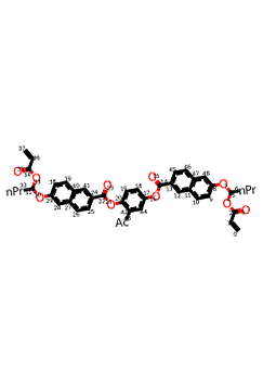 C=CC(=O)OC(CCC)Oc1ccc2cc(C(=O)Oc3ccc(OC(=O)c4ccc5cc(OC(CCC)OC(=O)C=C)ccc5c4)c(C(C)=O)c3)ccc2c1